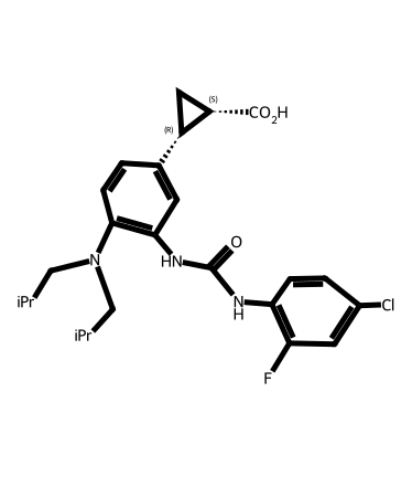 CC(C)CN(CC(C)C)c1ccc([C@@H]2C[C@@H]2C(=O)O)cc1NC(=O)Nc1ccc(Cl)cc1F